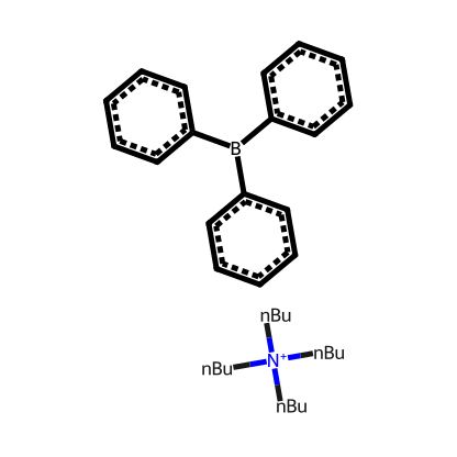 CCCC[N+](CCCC)(CCCC)CCCC.c1ccc(B(c2ccccc2)c2ccccc2)cc1